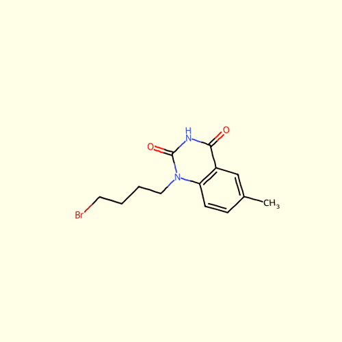 Cc1ccc2c(c1)c(=O)[nH]c(=O)n2CCCCBr